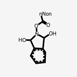 CCCCCCCCCC(=O)ON1C(O)c2ccccc2C1O